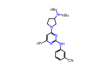 CCCCN(CCCC)C1CCN(c2cc(CCC)nc(Nc3cccc(C#N)c3)n2)C1